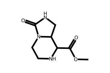 COC(=O)C1NCCN2C(=O)NCC12